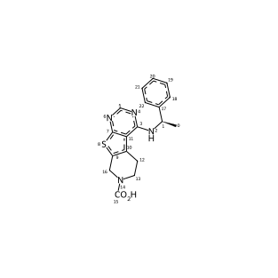 C[C@@H](Nc1ncnc2sc3c(c12)CCN(C(=O)O)C3)c1ccccc1